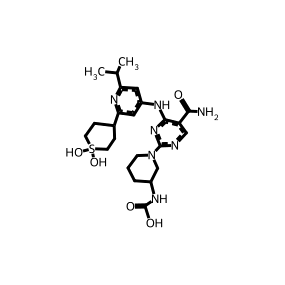 CC(C)c1cc(Nc2nc(N3CCCC(NC(=O)O)C3)ncc2C(N)=O)cc(C2CCS(O)(O)CC2)n1